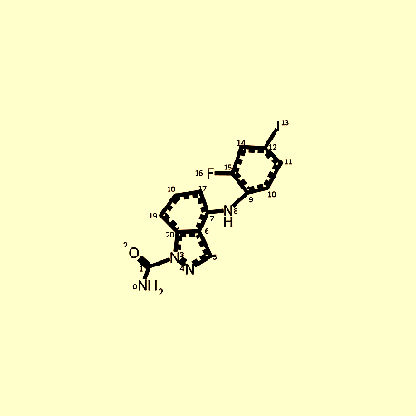 NC(=O)n1ncc2c(Nc3ccc(I)cc3F)[c]ccc21